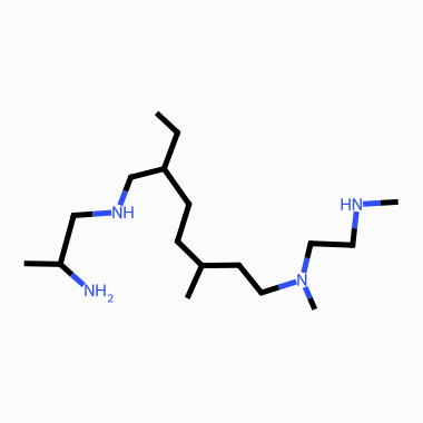 CCC(CCC(C)CCN(C)CCNC)CNCC(C)N